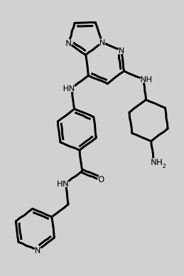 NC1CCC(Nc2cc(Nc3ccc(C(=O)NCc4cccnc4)cc3)c3nccn3n2)CC1